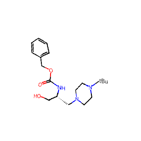 CC(C)(C)N1CCN(C[C@H](CO)NC(=O)OCc2ccccc2)CC1